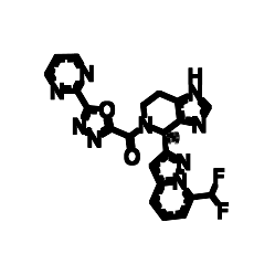 O=C(c1nnc(-c2ncccn2)o1)N1CCc2[nH]cnc2[C@H]1c1cc2cccc(C(F)F)n2n1